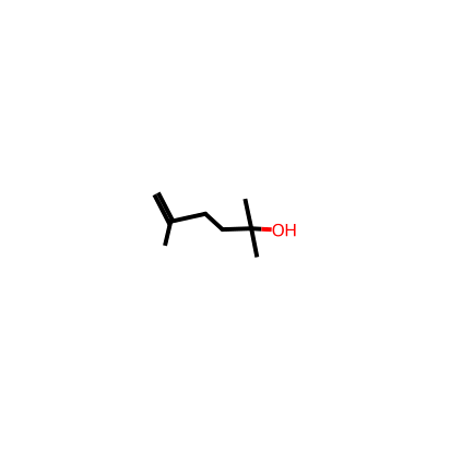 C=C(C)CCC(C)(C)O